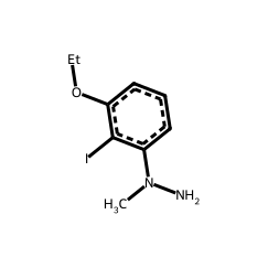 CCOc1cccc(N(C)N)c1I